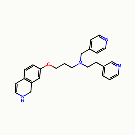 C1=Cc2ccc(OCCCN(CCc3cccnc3)Cc3ccncc3)cc2CN1